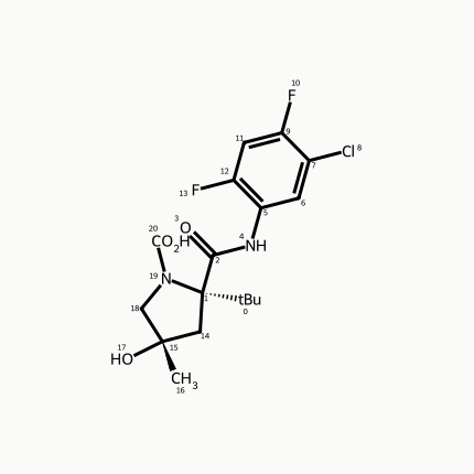 CC(C)(C)[C@]1(C(=O)Nc2cc(Cl)c(F)cc2F)C[C@](C)(O)CN1C(=O)O